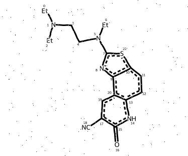 CCN(CC)CCN(CC)c1nc2c(ccc3[nH]c(=O)c(C#N)cc32)s1